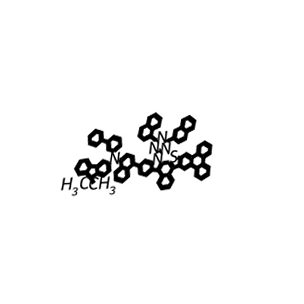 CC1(C)c2ccccc2-c2cc(N(c3cccc(-c4ccccc4)c3)c3ccc(-c4ccc5c6c7ccccc7c7c8cc9c%10ccccc%10c%10ccccc%10c9cc8sc7c6n(-c6nc(-c7ccc8ccccc8c7)nc(-c7cccc8ccccc78)n6)c5c4)c4ccccc34)ccc21